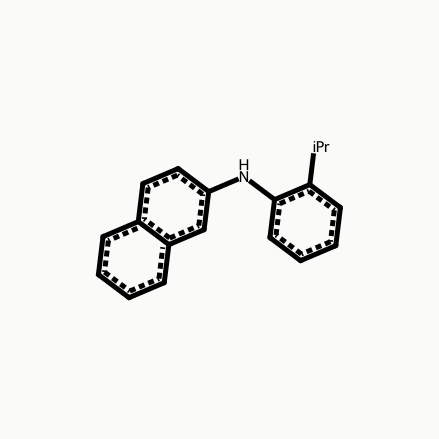 CC(C)c1ccccc1Nc1ccc2ccccc2c1